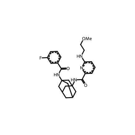 COCCNc1cccc(C(=O)NC23CC4CC(CC(NC(=O)c5cccc(F)c5)(C4)C2)C3)n1